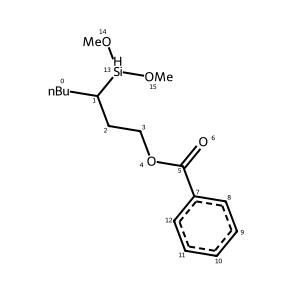 CCCCC(CCOC(=O)c1ccccc1)[SiH](OC)OC